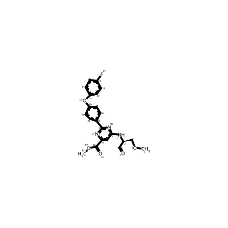 COC[C@@H](C=O)Nc1cc(C(=O)OC)nc(-c2ccc(Oc3ccc(F)cc3)cc2)n1